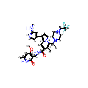 CNc1cc(-c2ccn3c([C@H](C)N4CCN(CC(F)(F)F)CC4)c(C)c(C(=O)NCc4c(OC)cc(C)[nH]c4=O)cc23)ccn1